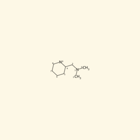 CN(C)CC1CCCC[N]1